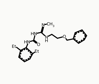 CCc1cccc(CC)c1NC(=O)NC(=NC)NCCOCc1ccccc1